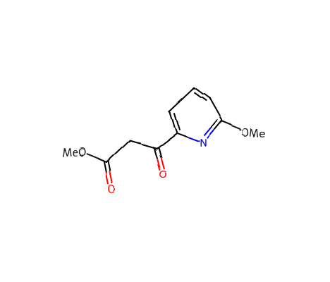 COC(=O)CC(=O)c1cccc(OC)n1